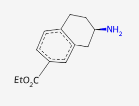 CCOC(=O)c1ccc2c(c1)C[C@H](N)CC2